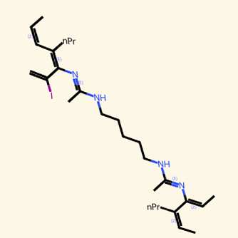 C=C(I)C(/N=C(\C)NCCCCCN/C(C)=N/C(=C\C)C(=C\C)/CCC)=C(\C=C/C)CCC